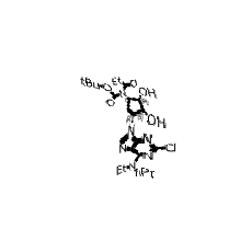 CCCN(CC)c1nc(Cl)nc2c1ncn2[C@@H]1C[C@H](N(C(=O)CC)C(=O)OC(C)(C)C)[C@@H](O)[C@H]1O